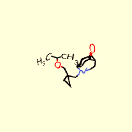 CC(C)OCC1(CN2CC3CCC2CC3=O)CC1